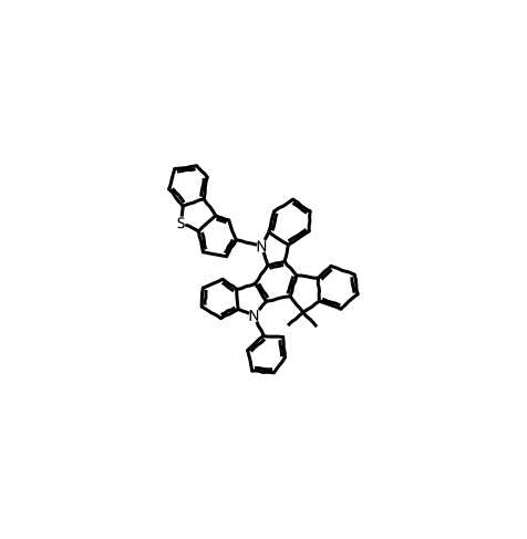 CC1(C)c2ccccc2-c2c1c1c(c3ccccc3n1-c1ccccc1)c1c2c2ccccc2n1-c1ccc2sc3ccccc3c2c1